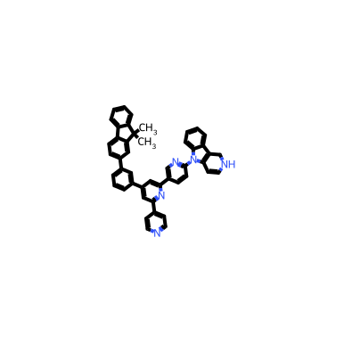 CC1(C)c2ccccc2-c2ccc(-c3cccc(-c4cc(-c5ccncc5)nc(-c5ccc(-n6c7c(c8ccccc86)CNC=C7)nc5)c4)c3)cc21